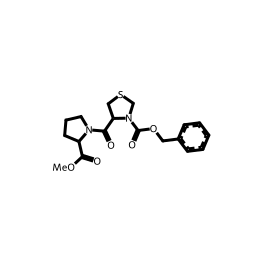 COC(=O)C1CCCN1C(=O)C1CSCN1C(=O)OCc1ccccc1